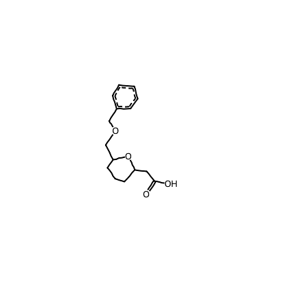 O=C(O)CC1CCCC(COCc2ccccc2)O1